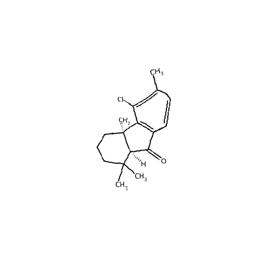 Cc1ccc2c(c1Cl)[C@]1(C)CCCC(C)(C)[C@@H]1C2=O